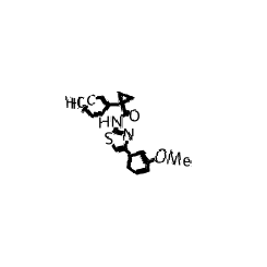 C#C/C=C\C(=C/C)C1(C(=O)Nc2nc(-c3cccc(OC)c3)cs2)CC1